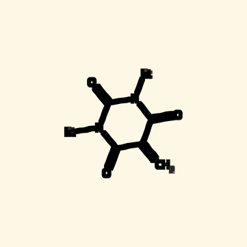 C=C1C(=O)N(CC)C(=O)N(CC)C1=O